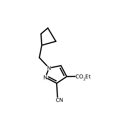 CCOC(=O)c1cn(CC2CCC2)nc1C#N